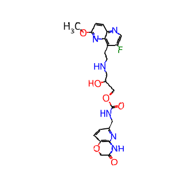 COc1ccc2ncc(F)c(CCNCC(O)COC(=O)NCc3ccc4c(n3)NC(=O)CO4)c2n1